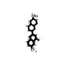 CCCCC1CCC2CC(c3cc(F)c4cc(C(F)(F)F)ccc4c3)CCC2C1